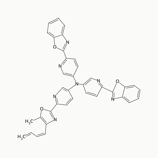 C=C/C=C\c1nc(-c2ccc(N(c3ccc(-c4nc5ccccc5o4)nc3)c3ccc(-c4nc5ccccc5o4)nc3)cn2)oc1C